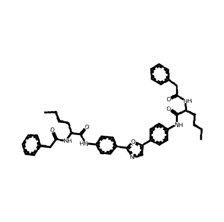 CCCCC(NC(=O)Cc1ccccc1)C(=O)Nc1ccc(-c2cnc(-c3ccc(NC(=O)C(CCCC)NC(=O)Cc4ccccc4)cc3)o2)cc1